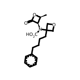 C[C@@H]1OC(=O)[C@@H]1N(C(=O)O)C1(CCCCc2ccccc2)COC1